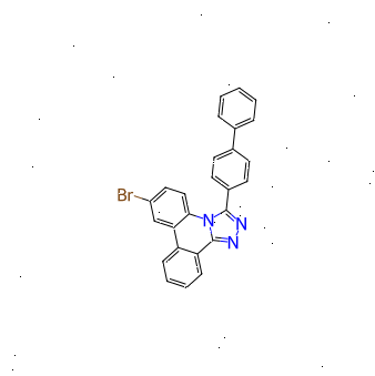 Brc1ccc2c(c1)c1ccccc1c1nnc(-c3ccc(-c4ccccc4)cc3)n21